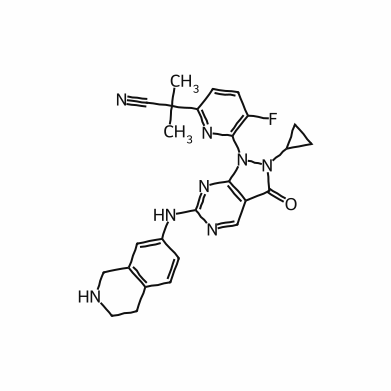 CC(C)(C#N)c1ccc(F)c(-n2c3nc(Nc4ccc5c(c4)CNCC5)ncc3c(=O)n2C2CC2)n1